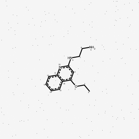 CCOc1cc(NCCN)nc2ccccc12